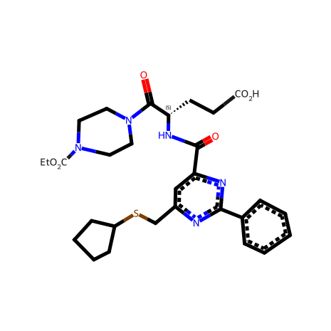 CCOC(=O)N1CCN(C(=O)[C@H](CCC(=O)O)NC(=O)c2cc(CSC3CCCC3)nc(-c3ccccc3)n2)CC1